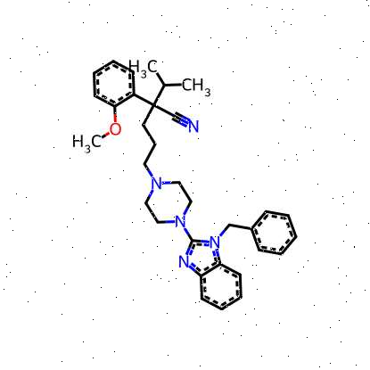 COc1ccccc1C(C#N)(CCCN1CCN(c2nc3ccccc3n2Cc2ccccc2)CC1)C(C)C